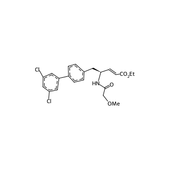 CCOC(=O)/C=C/[C@H](Cc1ccc(-c2cc(Cl)cc(Cl)c2)cc1)NC(=O)COC